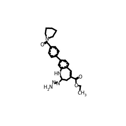 CCOC(=O)C1=Cc2ccc(-c3ccc(C(=O)N4CCCCC4)cc3)cc2NC(N=NN)C1